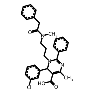 CC1=C(C(=O)O)C(c2cccc(Cl)c2)N(CCCN(C)C(=O)Cc2ccccc2)C(c2ccccc2)=N1